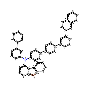 c1ccc(-c2cccc(N(c3ccc(-c4ccc(-c5cccc(-c6ccc7ccccc7c6)c5)cc4)cc3)c3cccc4sc5ccccc5c34)c2)cc1